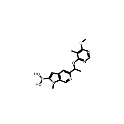 COc1ncnc(OC(C)c2cc3cc(B(O)O)n(C)c3cn2)c1I